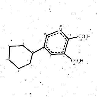 O=C(O)c1cc(C2CCCCC2)cnc1C(=O)O